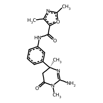 Cc1nc(C)c(C(=O)Nc2cccc([C@]3(C)CC(=O)N(C)C(N)=N3)c2)o1